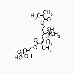 C=C(C)C(=O)OCCC(CC=C(C)C(=O)OCCOP(=O)(O)O)[N+](C)(C)C